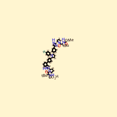 COC(=O)N[C@H](C(=O)N1CCC[C@H]1c1nc(-c2ccc([C@@H]3CC[C@@H](c4ccc(-c5cccc6c5CN([C@H]5CCCN5C(=O)[C@@H](NC(=O)O)C(C)(C)C)N6)cc4)N3c3ccc(F)cc3)cc2)c[nH]1)C(C)(C)C